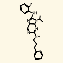 CC(C)n1c(Nc2ccccc2F)nc2cnc(NCCCc3ccccc3)nc21